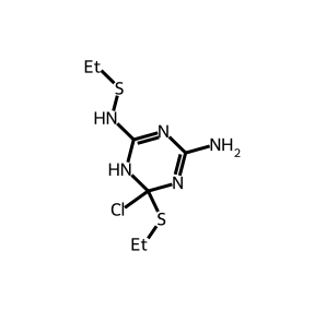 CCSNC1=NC(N)=NC(Cl)(SCC)N1